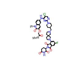 CNC(=O)COc1cc2cc(Nc3nc(N4CCC(CN5CCC6(CCN(c7cc(F)cc8c7C(=O)N(C7CCC(=O)NC7=O)C8=O)C6)C5)CC4)ncc3Cl)ccc2n(C(C)C)c1=O